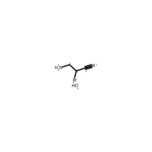 Cl.N#CC(Br)CN